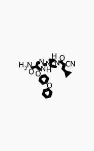 N#CC(=CC1CC1)C(=O)N1C[C@@H]2C[C@H]1CN2c1ncc(C(N)=O)c(Oc2ccc(Oc3ccccc3)cc2)n1